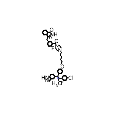 CC/C(=C(/c1ccc(OCCCCCCN2CCN(C(=O)c3cc(Cc4n[nH]c(=O)c5ccccc45)ccc3F)CC2)cc1)c1ccc2[nH]ncc2c1)c1ccc(Cl)cc1F